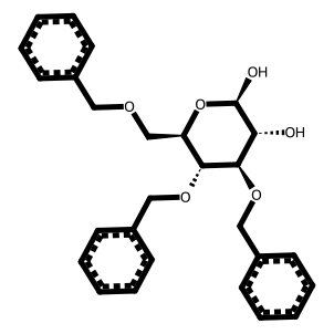 O[C@@H]1[C@@H](OCc2ccccc2)[C@H](OCc2ccccc2)[C@@H](COCc2ccccc2)O[C@H]1O